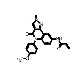 C=CC(=O)Nc1ccc2c(c1)c1nn(C)cc1c(=O)n2-c1ccc(OC(F)(F)F)cc1